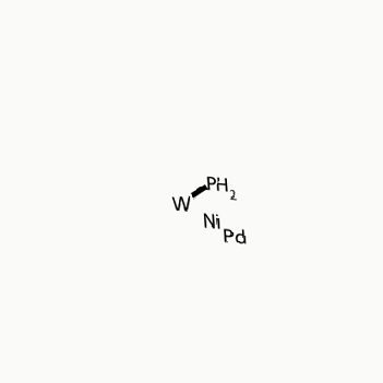 [Ni].[PH2][W].[Pd]